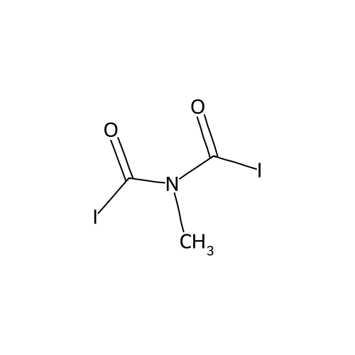 CN(C(=O)I)C(=O)I